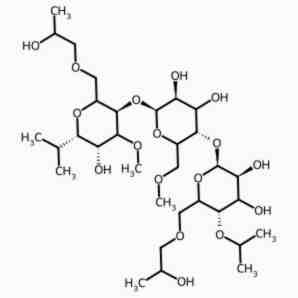 COCC1O[C@@H](O[C@@H]2C(COCC(C)O)O[C@@H](C(C)C)[C@@H](O)C2OC)[C@@H](O)C(O)[C@@H]1O[C@@H]1OC(COCC(C)O)[C@@H](OC(C)C)C(O)[C@@H]1O